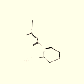 CC(C)=CC(=O)N1CCCCC1C(=O)O